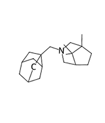 CC12CCC(CN(CC34CC5CC(CC3C5)C4)C1)C2(C)C